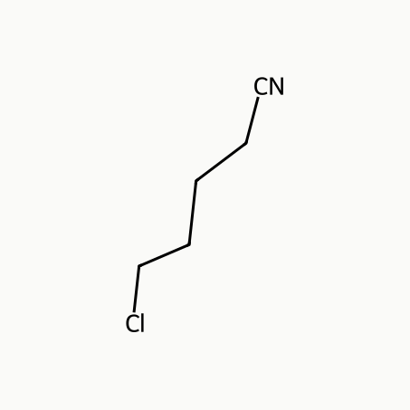 N#CCCCCCl